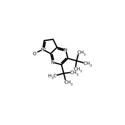 CC(C)(C)c1nc2c(nc1C(C)(C)C)[N+]([O-])=CC2